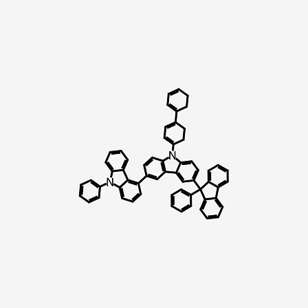 C1=CCCC(C2=CC=C(n3c4ccc(-c5cccc6c5c5ccccc5n6-c5ccccc5)cc4c4cc(C5(c6ccccc6)c6ccccc6-c6ccccc65)ccc43)CC2)=C1